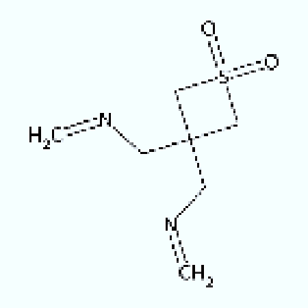 C=NCC1(CN=C)CS(=O)(=O)C1